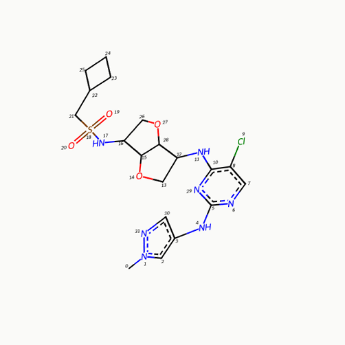 Cn1cc(Nc2ncc(Cl)c(NC3COC4C(NS(=O)(=O)CC5CCC5)COC34)n2)cn1